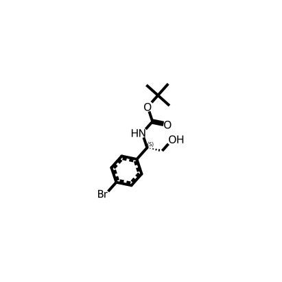 CC(C)(C)OC(=O)N[C@H](CO)c1ccc(Br)cc1